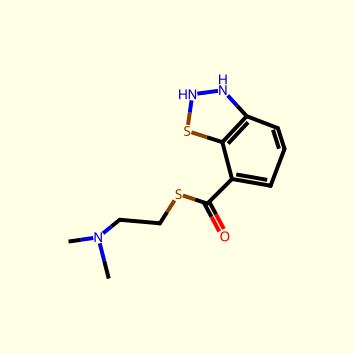 CN(C)CCSC(=O)c1cccc2c1SNN2